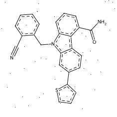 N#Cc1ccccc1Cn1c2cc(-c3cccs3)c[c]c2c2c(C(N)=O)cccc21